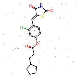 O=C(CCC1CCCC1)Oc1ccc(/C=C2\SC(=O)NC2=O)c(Cl)c1